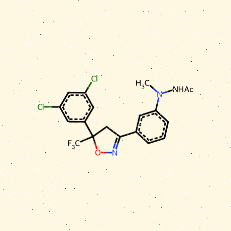 CC(=O)NN(C)c1cccc(C2=NOC(c3cc(Cl)cc(Cl)c3)(C(F)(F)F)C2)c1